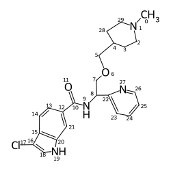 CN1CCC(COCC(NC(=O)c2ccc3c(Cl)c[nH]c3c2)c2ccccn2)CC1